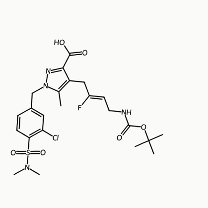 Cc1c(CC(F)=CCNC(=O)OC(C)(C)C)c(C(=O)O)nn1Cc1ccc(S(=O)(=O)N(C)C)c(Cl)c1